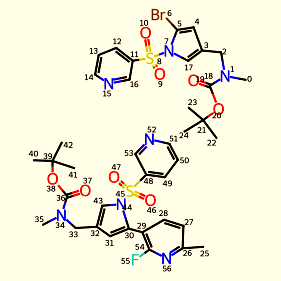 CN(Cc1cc(Br)n(S(=O)(=O)c2cccnc2)c1)C(=O)OC(C)(C)C.Cc1ccc(-c2cc(CN(C)C(=O)OC(C)(C)C)cn2S(=O)(=O)c2cccnc2)c(F)n1